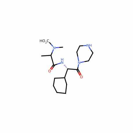 CC(C(=O)N[C@H](C(=O)N1CCNCC1)C1CCCCC1)N(C)C(=O)O